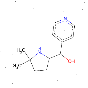 CC1(C)CCC(C(O)c2ccncc2)N1